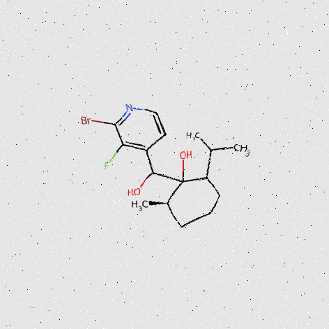 CC(C)C1CCC[C@@H](C)C1(O)C(O)c1ccnc(Br)c1F